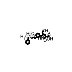 CCc1cc(C(=O)O)c(=O)[nH]c1-c1ccc2c(c1)cc(CN[C@H](C)c1ccccc1)n2C